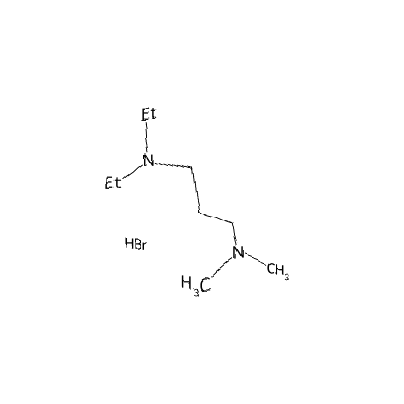 Br.CCN(CC)CCCN(C)C